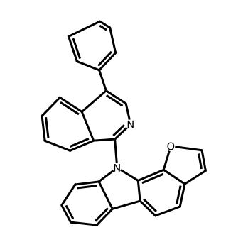 c1ccc(-c2cnc(-n3c4ccccc4c4ccc5ccoc5c43)c3ccccc23)cc1